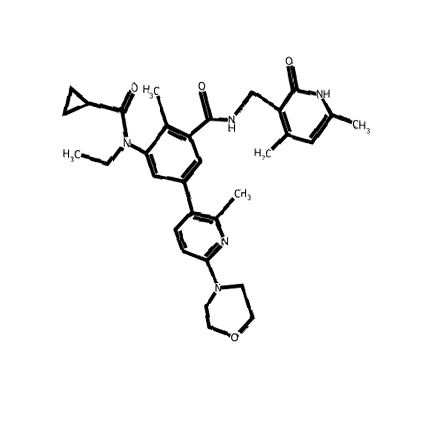 CCN(C(=O)C1CC1)c1cc(-c2ccc(N3CCOCC3)nc2C)cc(C(=O)NCc2c(C)cc(C)[nH]c2=O)c1C